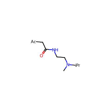 CC(=O)CC(=O)NCCN(C)C(C)C